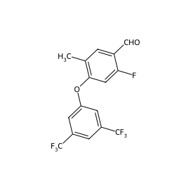 Cc1cc(C=O)c(F)cc1Oc1cc(C(F)(F)F)cc(C(F)(F)F)c1